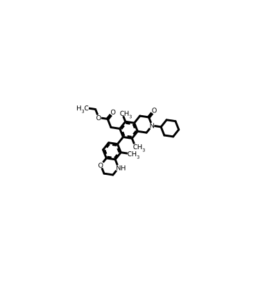 CCOC(=O)Cc1c(C)c2c(c(C)c1-c1ccc3c(c1C)NCCO3)CN(C1CCCCC1)C(=O)C2